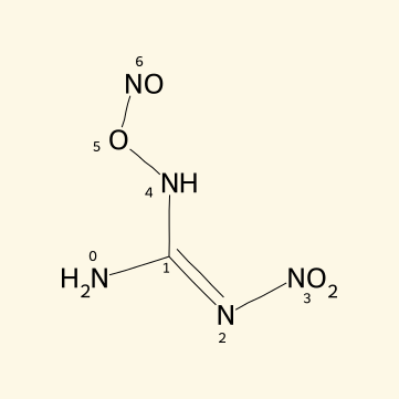 NC(=N[N+](=O)[O-])NON=O